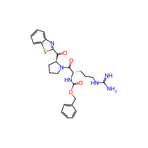 N=C(N)NCCC[C@H](NC(=O)OCc1ccccc1)C(=O)N1CCC[C@H]1C(=O)c1nc2ccccc2s1